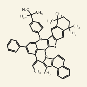 C/C=C1/c2cc(-c3ccccc3)cc3c2B(c2sc4cc5c(cc4c2N3c2ccc(C(C)(C)C)cc2)C(C)(C)CCC5(C)C)n2c1c(C)c1c3ccccc3ccc12